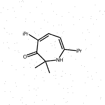 CC(C)C1=CC=C(C(C)C)C(=O)C(C)(C)N1